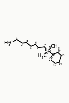 CCCCCCCC[Si](C)(C)C1CCCCO1